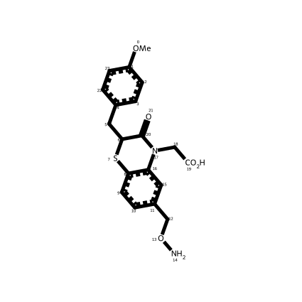 COc1ccc(CC2Sc3ccc(CON)cc3N(CC(=O)O)C2=O)cc1